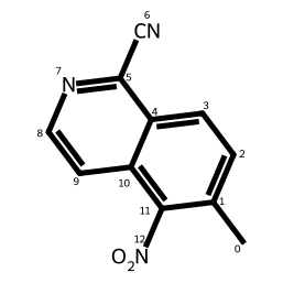 Cc1ccc2c(C#N)nccc2c1[N+](=O)[O-]